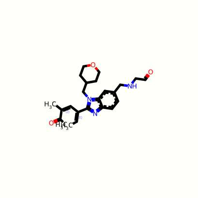 C/C=C(\C=C(\C)C(C)=O)c1nc2ccc(CNCC=O)cc2n1CC1CCOCC1